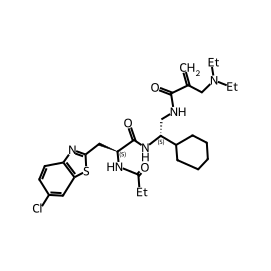 C=C(CN(CC)CC)C(=O)NC[C@@H](NC(=O)[C@H](Cc1nc2ccc(Cl)cc2s1)NC(=O)CC)C1CCCCC1